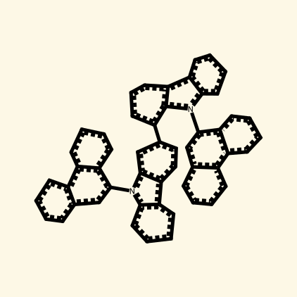 c1ccc2c(c1)cc(-n1c3ccccc3c3ccc(-c4cccc5c6ccccc6n(-c6cc7ccccc7c7ccccc67)c45)cc31)c1ccccc12